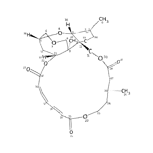 CC1=C[C@H]2O[C@H]3COC[C@]4(C)[C@@H](C3)OC(=O)/C=C\C=C\C(=O)OCC[C@@H](C)CC(=O)OC[C@]24CC1